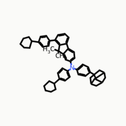 CC1(C)c2cc(N(c3ccc(C4CCCCC4)cc3)c3ccc(C45CC6CC(CC(C6)C4)C5)cc3)ccc2-c2cccc(-c3ccc(C4CCCCC4)cc3)c21